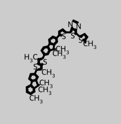 Cc1ccc2c(c1)C(C)(C)c1cc(-c3sc4c(C)c(-c5ccc6c(c5)C(C)(C)c5cc(-c7ccc(-c8sc(-c9ccc(C)s9)c9nccnc89)s7)ccc5-6)sc4c3C)ccc1-2